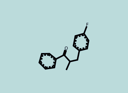 CC(Cc1ccc(F)cc1)C(=O)c1ccccc1